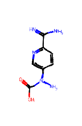 N=C(N)c1ccc(N(N)C(=O)O)cn1